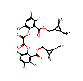 CCC1C(COC(=O)c2c(Cl)c(Cl)cc(Cl)c2OC(=O)C(=O)Oc2c(Cl)cc(Cl)c(Cl)c2C(=O)OCC2C(CC)C2C(C)C)C1C(C)C